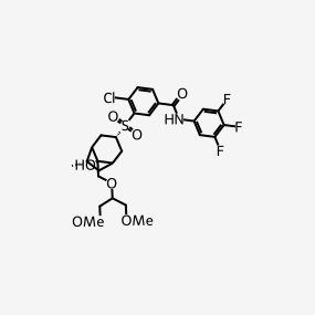 COCC(COC)OC[C@@]1(O)C2C[C@@H](S(=O)(=O)c3cc(C(=O)Nc4cc(F)c(F)c(F)c4)ccc3Cl)CC1[C@@H](C)C2